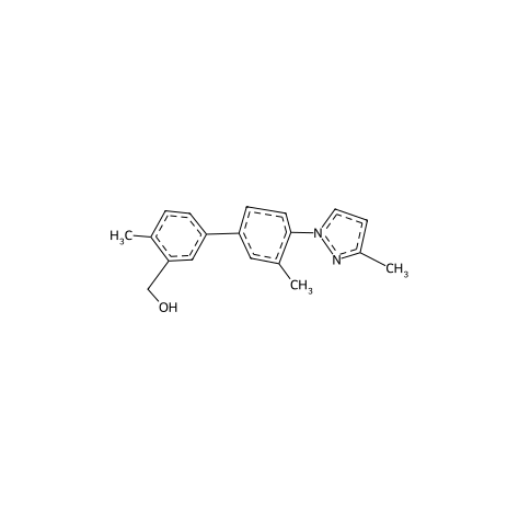 Cc1ccn(-c2ccc(-c3ccc(C)c(CO)c3)cc2C)n1